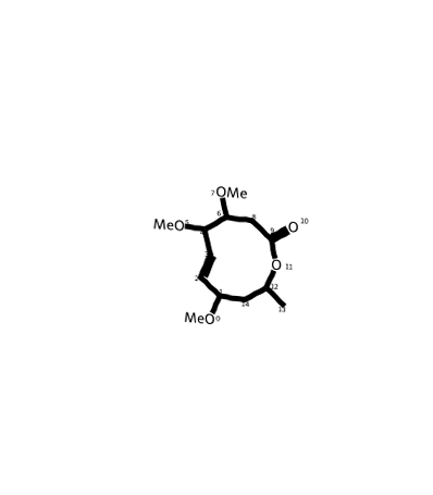 COC1/C=C/C(OC)C(OC)CC(=O)OC(C)C1